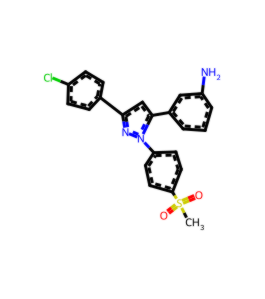 CS(=O)(=O)c1ccc(-n2nc(-c3ccc(Cl)cc3)cc2-c2cccc(N)c2)cc1